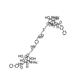 CC(=O)N[C@@H]1[C@H]([C@H](O)[C@@H](O)CNC(=O)c2ccc(-c3ccccc3)cc2)O[C@@](OCCCSCNCc2ccc(CNCC(=O)CCSCCCO[C@]3(C(=O)O)C[C@H](O)[C@@H](NC(C)=O)[C@H]([C@H](O)[C@H](O)CNC(=O)c4ccc(-c5ccccc5)cc4)O3)cc2)(C(=O)O)C[C@@H]1O